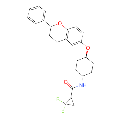 O=C(N[C@H]1CC[C@H](Oc2ccc3c(c2)CCC(c2ccccc2)O3)CC1)C1CC1(F)F